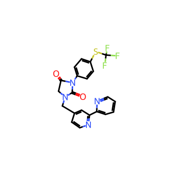 O=C1CN(Cc2ccnc(-c3ccccn3)c2)C(=O)N1c1ccc(SC(F)(F)F)cc1